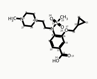 CN1CCN(CCN(c2ccc(C(=O)O)cc2OCC2CC2)S(C)(=O)=O)CC1